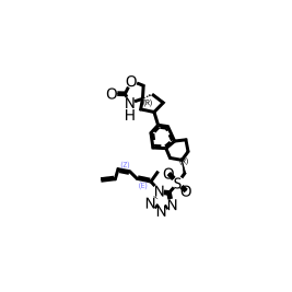 C=C/C=C\C=C(/C)n1nnnc1S(=O)(=O)C[C@@H]1CCc2cc(C3CC[C@]4(COC(=O)N4)C3)ccc2C1